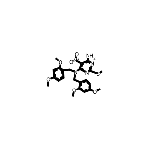 COc1ccc(CN(Cc2ccc(OC)cc2OC)c2nc(SC)nc(N)c2[N+](=O)[O-])c(OC)c1